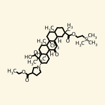 CCOC(=O)C1CCN([C@H]2CC[C@@]3(C)[C@@H](CC[C@]4(C)[C@@H]3C(=O)C=C3[C@@H]5C[C@@](C)(C(=O)OCC[Si](C)(C)C)CC[C@]5(C)CC[C@]34C)[C@]2(C)C(=O)O)C1